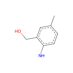 Cc1ccc([NH])c(CO)c1